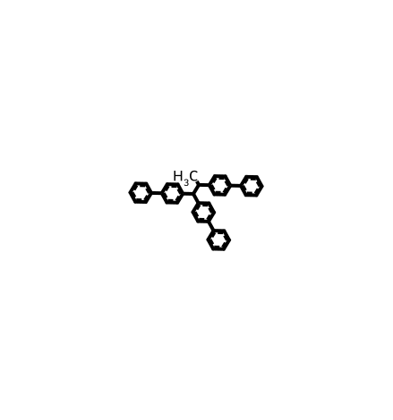 CC(c1ccc(-c2ccccc2)cc1)C(c1ccc(-c2ccccc2)cc1)c1ccc(-c2ccccc2)cc1